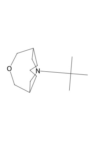 CC(C)(C)N1CC2CCCC(COC2)C1